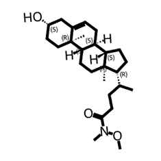 CON(C)C(=O)CCC(C)[C@H]1CC[C@H]2[C@@H]3CC=C4C[C@@H](O)CC[C@]4(C)[C@H]3CC[C@]12C